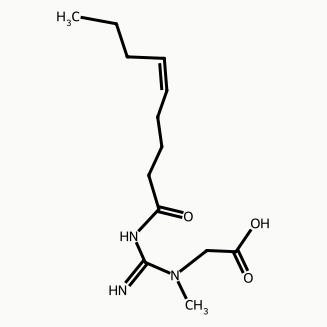 CCC/C=C\CCCC(=O)NC(=N)N(C)CC(=O)O